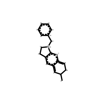 CC1C=c2cc3c(nc2=CC1)N(Cc1ccccc1)CC3